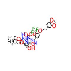 CC(C)(C)OC(=O)N/C(=N\C(=O)O)N1CC[C@H](O)[C@H]1c1nc(-c2ccc(OCCCc3ccc4c(c3)OCCO4)c(C(F)(F)F)c2)no1